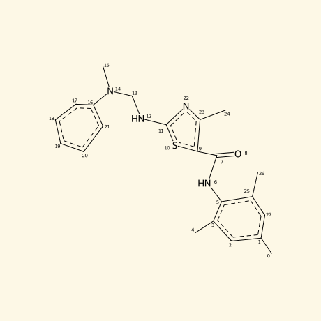 Cc1cc(C)c(NC(=O)c2sc(NCN(C)c3ccccc3)nc2C)c(C)c1